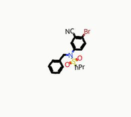 CCCS(=O)(=O)N(Cc1ccccc1)c1ccc(Br)c(C#N)c1